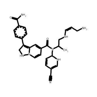 CC(CN/C=C\CN)N(C(=O)C1=CC2=C(c3ccc(C(N)=O)cc3)CNN2C=C1)C1C=CC(C#N)=CN1